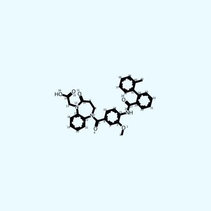 COc1cc(C(=O)N2CCC(=O)N(CC(=O)O)c3ccccc32)ccc1NC(=O)c1ccccc1-c1ccccc1C